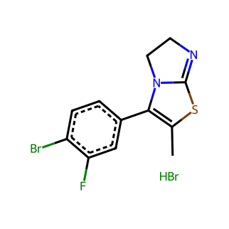 Br.CC1=C(c2ccc(Br)c(F)c2)N2CCN=C2S1